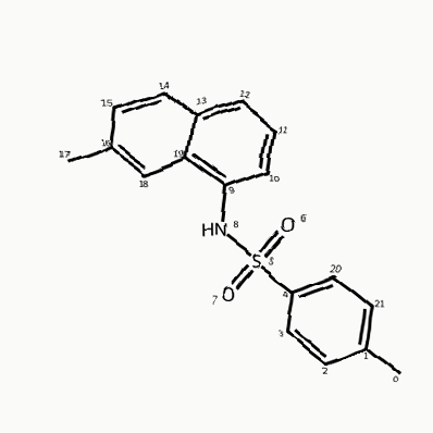 Cc1ccc(S(=O)(=O)Nc2cccc3ccc(C)cc23)cc1